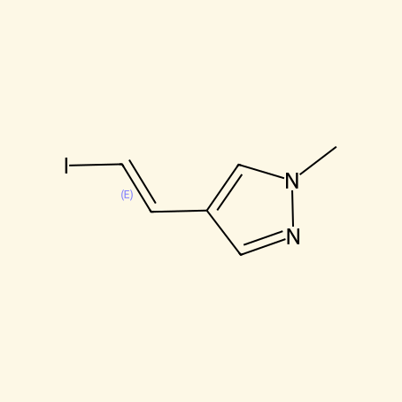 Cn1cc(/C=C/I)cn1